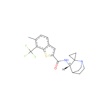 Cc1ccc2cc(C(=O)N[C@H]3C4CCN(CC4)C34CC4)sc2c1C(F)(F)F